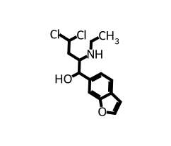 CCNC(CC(Cl)Cl)C(O)c1ccc2ccoc2c1